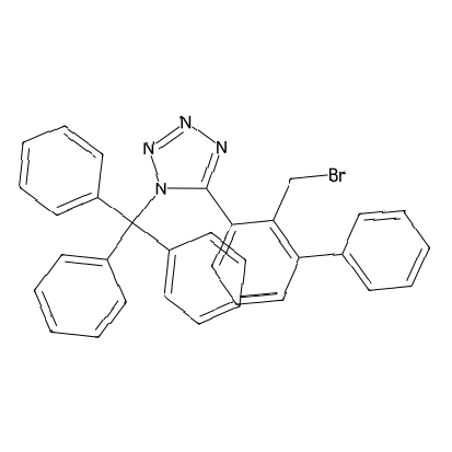 BrCc1c(-c2ccccc2)cccc1-c1nnnn1C(c1ccccc1)(c1ccccc1)c1ccccc1